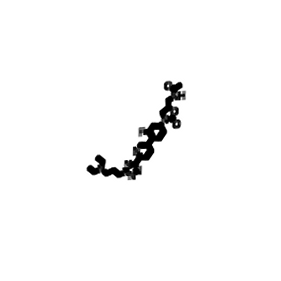 CCN(CC)CCCn1nnc(-c2ccc(-c3ccc(N4CC(CNC(C)=O)OC4=O)cc3F)cn2)n1